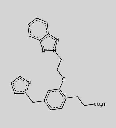 O=C(O)CCc1ccc(Cn2cccn2)cc1OCCn1nc2ccccc2n1